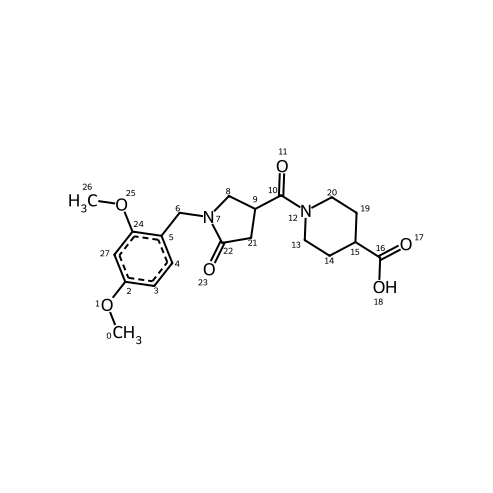 COc1ccc(CN2CC(C(=O)N3CCC(C(=O)O)CC3)CC2=O)c(OC)c1